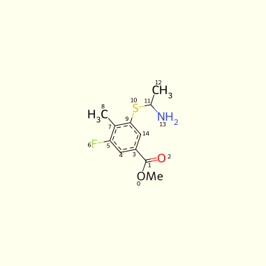 COC(=O)c1cc(F)c(C)c(SC(C)N)c1